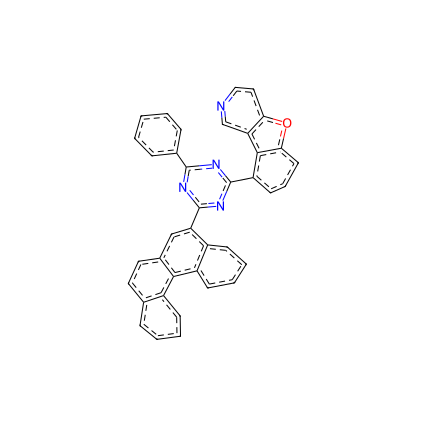 c1ccc(-c2nc(-c3cc4ccc5ccccc5c4c4ccccc34)nc(-c3cccc4oc5ccncc5c34)n2)cc1